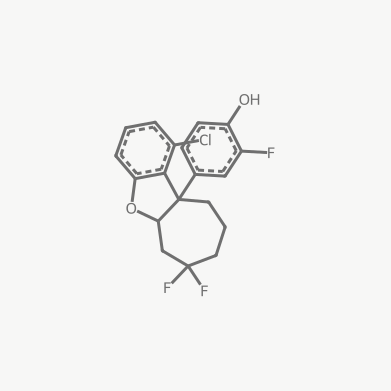 Oc1ccc(C23CCCC(F)(F)CC2Oc2cccc(Cl)c23)cc1F